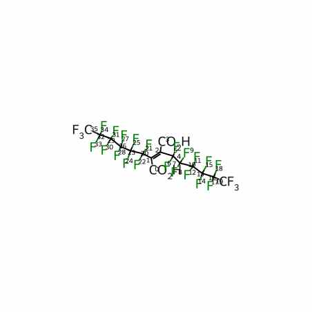 O=C(O)C(=C(C(=O)O)C(F)(F)C(F)(F)C(F)(F)C(F)(F)C(F)(F)C(F)(F)F)C(F)(F)C(F)(F)C(F)(F)C(F)(F)C(F)(F)C(F)(F)F